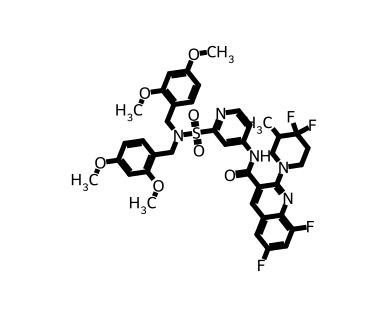 COc1ccc(CN(Cc2ccc(OC)cc2OC)S(=O)(=O)c2cc(NC(=O)c3cc4cc(F)cc(F)c4nc3N3CCC(F)(F)C(C)C3)ccn2)c(OC)c1